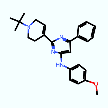 COc1ccc(Nc2cc(-c3ccccc3)nc(C3=CCN(C(C)(C)C)CC3)n2)cc1